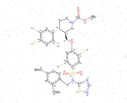 COc1ccc(CN(c2ncns2)S(=O)(=O)c2cc(F)c(OC[C@@H]3CN(C(=O)OC(C)(C)C)CC[C@H]3c3cc(F)c(F)cc3F)cc2F)c(OC)c1